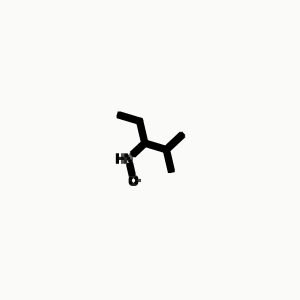 CCC(N[O])C(C)C